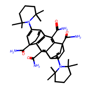 CC1(C)CCCC(C)(C)N1C1=CC2(C(N)=O)CC=C1c1c(C(N)=O)c3c(c(C(N)=O)c12)C1=CCC3(C(N)=O)C=C1N1C(C)(C)CCCC1(C)C